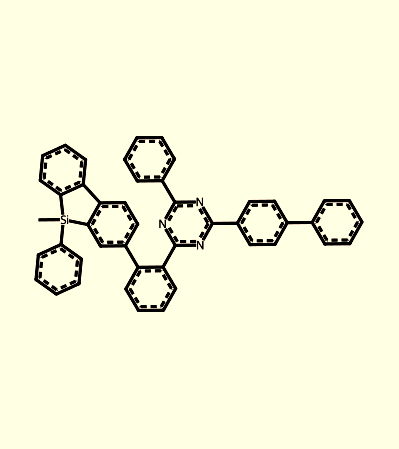 C[Si]1(c2ccccc2)c2ccccc2-c2ccc(-c3ccccc3-c3nc(-c4ccccc4)nc(-c4ccc(-c5ccccc5)cc4)n3)cc21